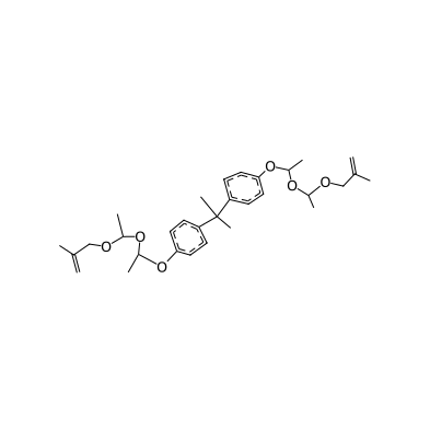 C=C(C)COC(C)OC(C)Oc1ccc(C(C)(C)c2ccc(OC(C)OC(C)OCC(=C)C)cc2)cc1